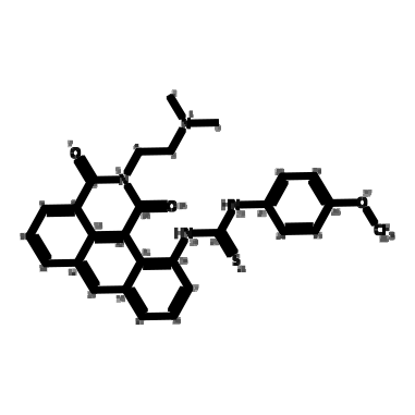 CN(C)CCN1C(=O)c2cccc3cc4cccc(NC(=S)Nc5ccc(OC(F)(F)F)cc5)c4c(c23)C1=O